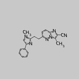 Cc1c(C#N)nc2ccc(CCc3nc(-c4ccccc4)cn3C)nn12